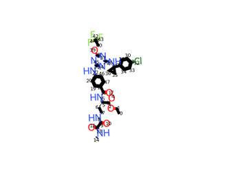 CCOC(=O)[C@H](CCNC(=O)C(=O)NC)NC(=O)c1ccc(Nc2nc(NC3(c4ccc(Cl)cc4)CC3)nc(OCC(F)(F)F)n2)cc1